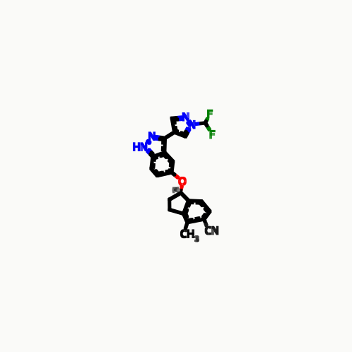 Cc1c(C#N)ccc2c1CC[C@H]2Oc1ccc2[nH]nc(-c3cnn(C(F)F)c3)c2c1